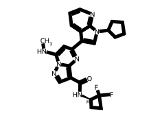 CNc1cc(-c2cn(C3CCCC3)c3ncccc23)nc2c(C(=O)N[C@@H]3CCC3(F)F)cnn12